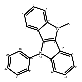 Cn1c2ccccc2c2c1c1ccccc1n2-c1ccccc1